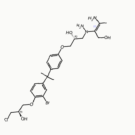 C/C(N)=C(\CO)N(N)C[C@@H](O)COc1ccc(C(C)(C)c2ccc(OC[C@@H](O)CCl)c(Br)c2)cc1